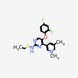 CCSNc1ncc(Oc2ccc(F)cc2F)c(C2=CN(C)CC(C)=C2)n1